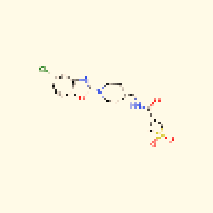 O=C(NCC1CCN(c2nc3cc(Cl)ccc3o2)CC1)C1CS(=O)(=O)C1